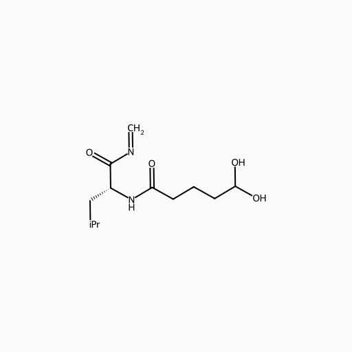 C=NC(=O)[C@@H](CC(C)C)NC(=O)CCCC(O)O